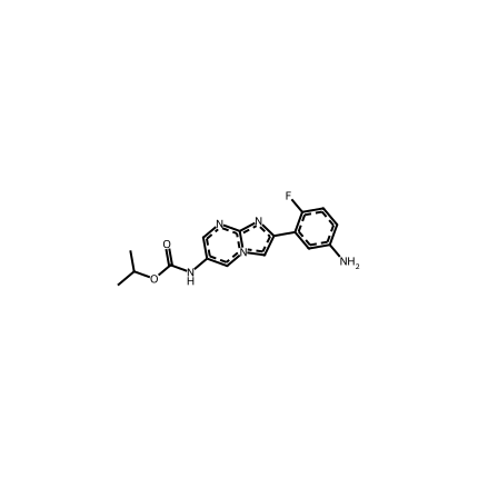 CC(C)OC(=O)Nc1cnc2nc(-c3cc(N)ccc3F)cn2c1